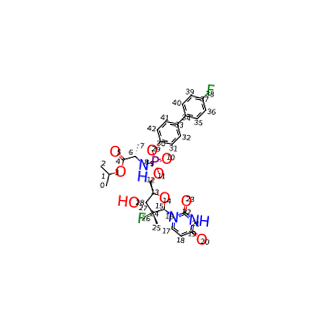 CC(C)OC(=O)[C@H](C)NP(=O)(OC[C@H]1O[C@@H](n2ccc(=O)[nH]c2=O)[C@](C)(F)[C@@H]1O)Oc1ccc(-c2ccc(F)cc2)cc1